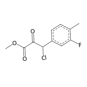 COC(=O)C(=O)C(Cl)c1ccc(C)c(F)c1